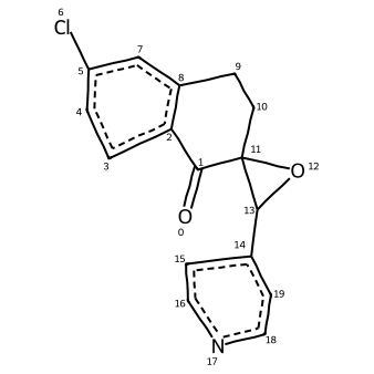 O=C1c2ccc(Cl)cc2CCC12OC2c1ccncc1